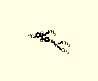 CCCCc1oc2ccc(CO)cc2c1C(=O)c1ccc(OCCCN(CCCC)CCCC)cc1